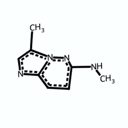 CNc1ccc2ncc(C)n2n1